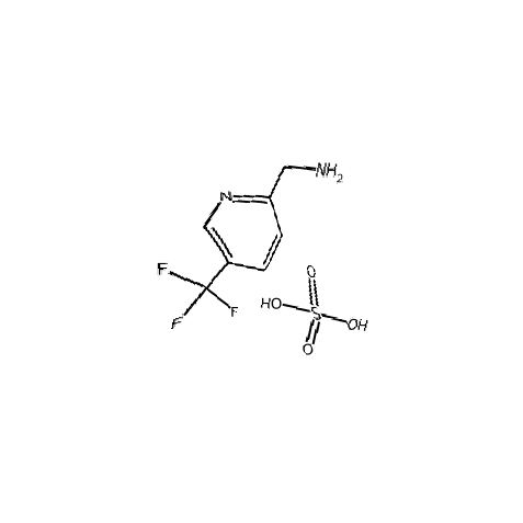 NCc1ccc(C(F)(F)F)cn1.O=S(=O)(O)O